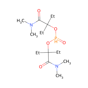 CCC(CC)(O[PH](=O)OC(CC)(CC)C(=O)N(C)C)C(=O)N(C)C